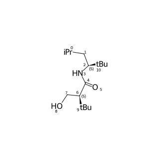 CC(C)C[C@H](NC(=O)[C@H](CO)C(C)(C)C)C(C)(C)C